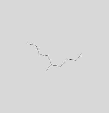 [CH2]CNCC(C)CNC[CH2]